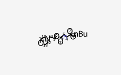 CCCCOC(=O)/C=C/C(=O)OCCN1CCOCC1